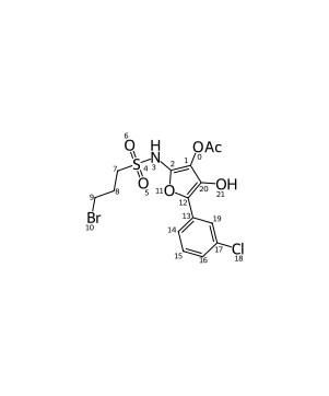 CC(=O)Oc1c(NS(=O)(=O)CCCBr)oc(-c2cccc(Cl)c2)c1O